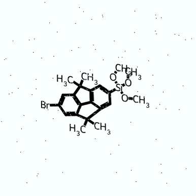 CO[Si](OC)(OC)c1cc2c3c(c1)C(C)(C)c1cc(Br)cc(c1-3)C2(C)C